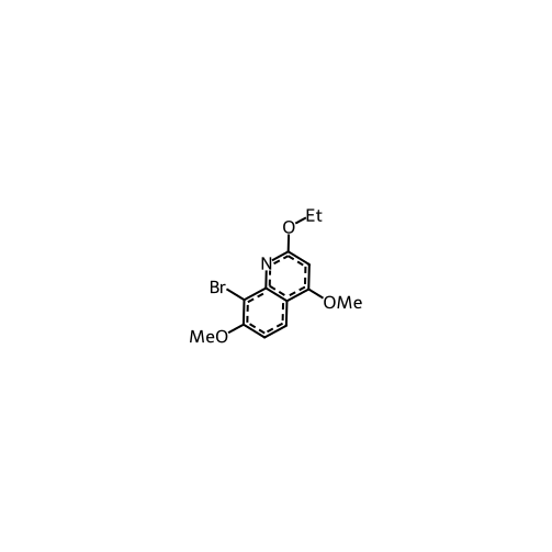 CCOc1cc(OC)c2ccc(OC)c(Br)c2n1